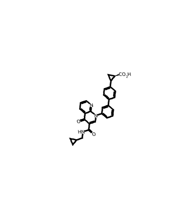 O=C(NCC1CC1)c1cn(-c2cccc(-c3ccc(C4C[C@H]4C(=O)O)cc3)c2)c2ncccc2c1=O